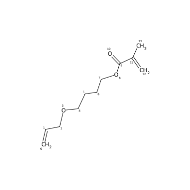 C=CCOCCCCOC(=O)C(=C)C